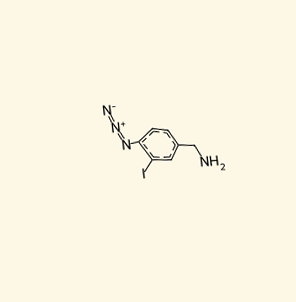 [N-]=[N+]=Nc1ccc(CN)cc1I